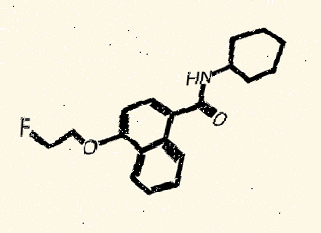 O=C(NC1CCCCC1)c1ccc(OCCF)c2ccccc12